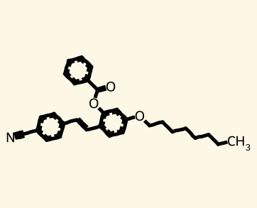 CCCCCCCCOc1ccc(C=Cc2ccc(C#N)cc2)c(OC(=O)c2ccccc2)c1